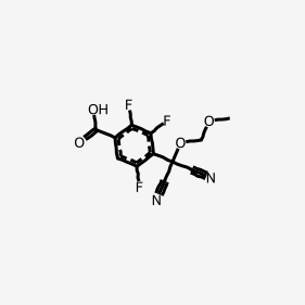 COCOC(C#N)(C#N)c1c(F)cc(C(=O)O)c(F)c1F